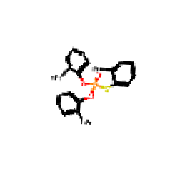 CCCc1ccccc1OP(=O)(Oc1ccccc1CCC)Sc1ccccc1CCC